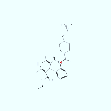 CCOC(=O)C1=C(C)NC(C)=C(C(=O)OCC)C1c1ccccc1OCC1CCC(CO[N+](=O)[O-])CC1